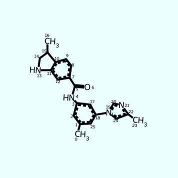 Cc1cc(NC(=O)c2ccc3c(c2)NCC3C)cc(-n2cnc(C)c2)c1